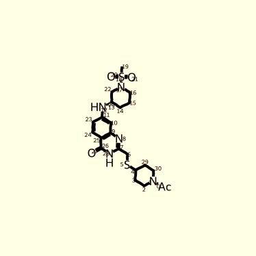 CC(=O)N1CCC(SCc2nc3cc(N[C@@H]4CCCN(S(C)(=O)=O)C4)ccc3c(=O)[nH]2)CC1